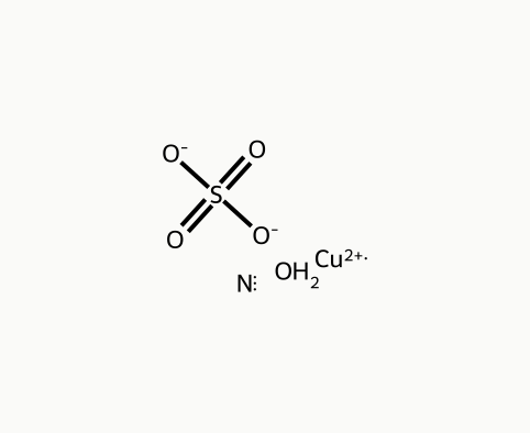 O.O=S(=O)([O-])[O-].[Cu+2].[N]